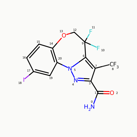 NC(=O)c1nn2c(c1C(F)(F)F)C(F)(F)COc1ccc(I)cc1-2